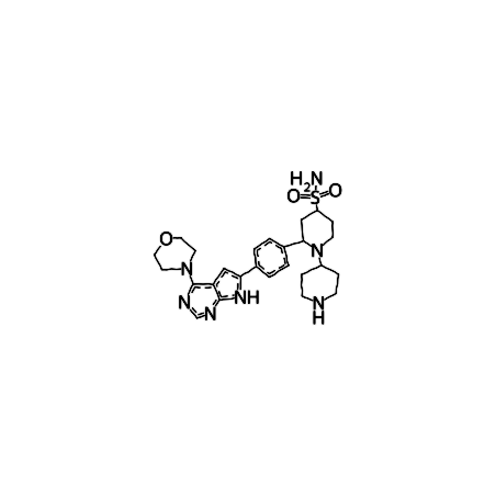 NS(=O)(=O)C1CCN(C2CCNCC2)C(c2ccc(-c3cc4c(N5CCOCC5)ncnc4[nH]3)cc2)C1